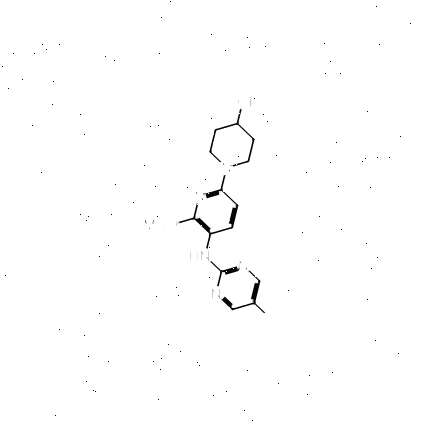 COc1nc(N2CCC(O)CC2)ccc1Nc1ncc(Cl)cn1